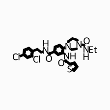 CCNC(=O)N1CCCN(c2ccc(C(=O)NCCc3ccc(Cl)cc3Cl)cc2NC(=O)c2cccs2)CC1